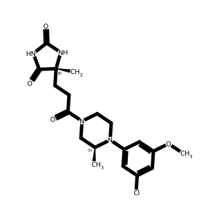 COc1cc(Cl)cc(N2CCN(C(=O)CC[C@@]3(C)NC(=O)NC3=O)C[C@@H]2C)c1